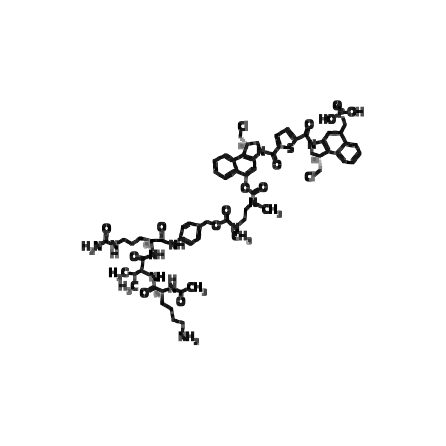 CC(=O)N[C@@H](CCCCN)C(=O)NC(C(=O)N[C@@H](CCCNC(N)=O)C(=O)Nc1ccc(COC(=O)N(C)CCN(C)C(=O)Oc2cc3c(c4ccccc24)[C@H](CCl)CN3C(=O)c2ccc(C(=O)N3C[C@@H](CCl)c4c3cc(CP(=O)(O)O)c3ccccc43)s2)cc1)C(C)C